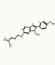 CCCCn1c(-c2ccc(OC(C)C)cc2)nc2ccc(OCCCN(CC)CC)cc21